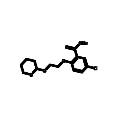 COC(=O)c1cc(Cl)ccc1OCCOC1CCCCO1